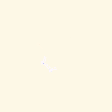 CCc1cc(Cl)nnc1[O]